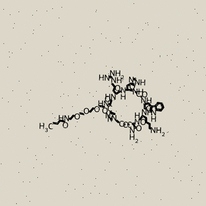 CCCCC(=O)NCCOCCOCCOCC(=O)NC1Cc2cn(nn2)CCCCC(C(N)=O)NC(=O)C(CCCCN)NC(=O)C(Cc2c[nH]c3ccccc23)NC(=O)CNC(=O)C(Cc2c[nH]cn2)NC(=O)C(CCCNC(=N)N)NC1=O